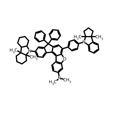 CN(C)c1ccc2c(c1)oc1c(-c3ccc(N4c5ccccc5C5(C)CCCC45C)cc3)cc3c(c12)-c1ccc(N2C4CCCCC4C4(C)CCCCC24C)cc1C3(c1ccccc1)c1ccccc1